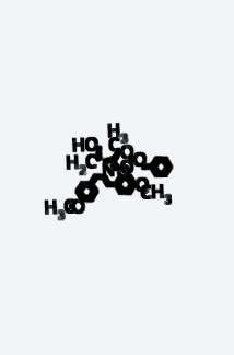 C=C(CO)[C@@H]1[C@@H]([C@@H](C)OC(=O)OCc2ccccc2)C(=O)N1C(Cc1ccc(OC)cc1)Cc1ccc(OC)cc1